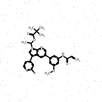 C=CC(=O)Nc1cc(OC)cc(-c2cnc3c(c2)c(-c2ccnc(F)c2)cn3C(C)OC(=O)C(C)(C)C)c1